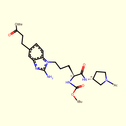 COC(=O)CCc1ccc2c(c1)nc(N)n2CCC[C@H](NC(=O)OC(C)(C)C)C(=O)N[C@@H]1CCN(C(C)=O)C1